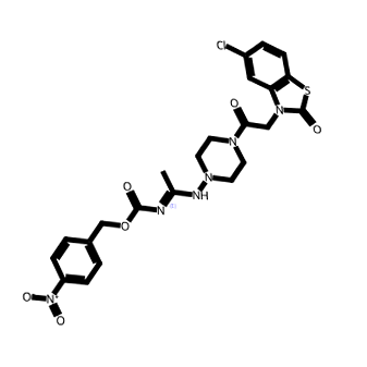 C/C(=N\C(=O)OCc1ccc([N+](=O)[O-])cc1)NN1CCN(C(=O)Cn2c(=O)sc3ccc(Cl)cc32)CC1